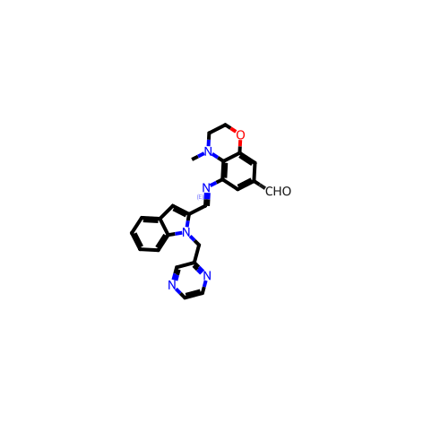 CN1CCOc2cc(C=O)cc(/N=C/c3cc4ccccc4n3Cc3cnccn3)c21